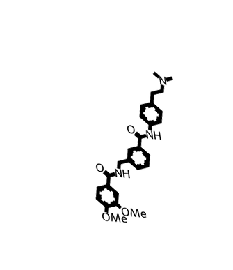 COc1ccc(C(=O)NCc2cccc(C(=O)Nc3ccc(CCN(C)C)cc3)c2)cc1OC